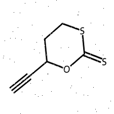 C#CC1CCSC(=S)O1